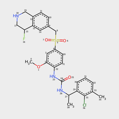 COc1cc(S(=O)(=O)Cc2ccc3c(c2)C(F)CNC3)ccc1NC(=O)NC(C)c1cccc(C)c1Cl